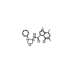 Cc1cn(C)c(=O)c2c(C(=O)N[C@H]3COC[C@H]3c3ccccc3)cn(C)c12